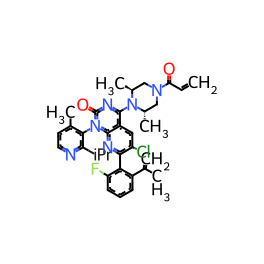 C=CC(=O)N1C[C@H](C)N(c2nc(=O)n(-c3c(C)ccnc3C(C)C)c3nc(-c4c(F)cccc4C(=C)C)c(Cl)cc23)[C@@H](C)C1